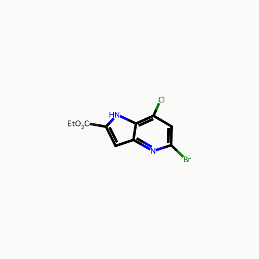 CCOC(=O)c1cc2nc(Br)cc(Cl)c2[nH]1